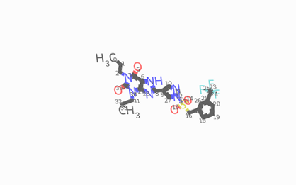 CCCn1c(=O)c2[nH]c(-c3cnn(S(=O)(=O)Cc4cccc(C(F)(F)F)c4)c3)nc2n(CCC)c1=O